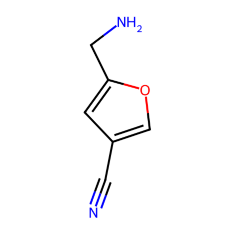 N#Cc1coc(CN)c1